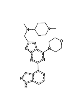 CN1CCC(N(C)Cc2cc3c(N4CCOCC4)nc(-c4cccc5[nH]ncc45)nc3s2)CC1